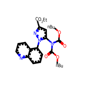 CCCCOC(=O)N(C(=O)OCCCC)c1cc(C(=O)OCC)nn1-c1cccc2ncccc12